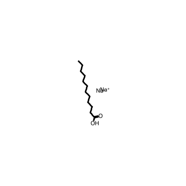 CCCCCCCCCCCC(=O)O.[Na+].[Na+]